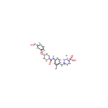 Cc1cc(N(C)C(=O)C2CCC(Oc3ccc(F)c(CO)c3)CC2)ccc1CN1CCN(C(=O)O)[C@@H](C)C1